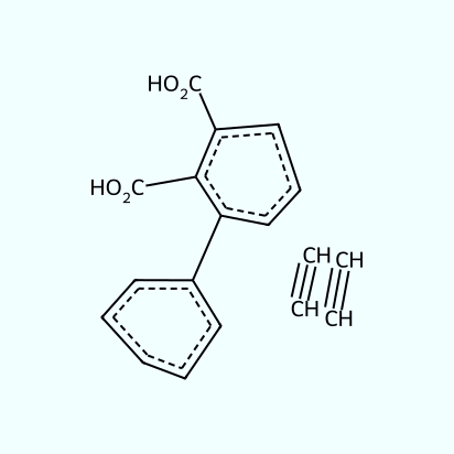 C#C.C#C.O=C(O)c1cccc(-c2ccccc2)c1C(=O)O